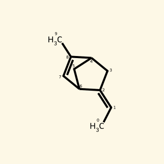 C/C=C1/CC2CC1C=C2C